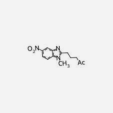 CC(=O)CCCc1nc2cc([N+](=O)[O-])ccc2n1C